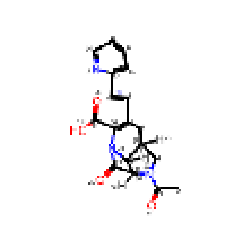 CC(=O)N1C[C@H]2CC(/C=C/c3ccccn3)=C(C(=O)O)N3C(=O)[C@@H]1[C@@H]23